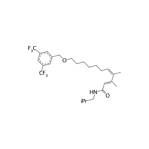 CC(=CCCCCCCOCc1cc(C(F)(F)F)cc(C(F)(F)F)c1)C(C)=CC(=O)NCC(C)C